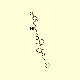 Cc1c(OCCCNCCn2cc(Cl)cn2)cccc1-c1cccc(OCCCN2CCCC2)c1C